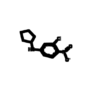 O=[N+]([O-])c1ccc(NC2CCCC2)cc1Cl